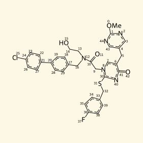 COc1ncc(Cc2cn(CC(=O)N(CCO)Cc3ccc(-c4ccc(Cl)cc4)cc3)c(SCc3ccc(F)cc3)nc2=O)cn1